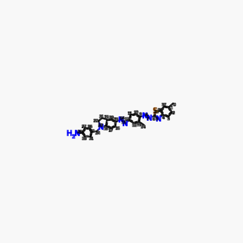 Cc1ccc2nc(N=Nc3ccc(N=Nc4ccc5c(c4)CCN5Cc4ccc(N)cc4)cc3C)sc2c1